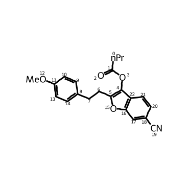 CCCC(=O)Oc1c(CCc2ccc(OC)cc2)oc2cc(C#N)ccc12